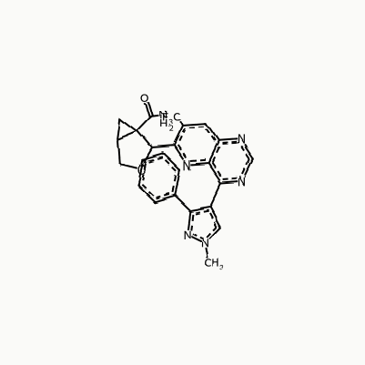 Cn1cc(-c2ncnc3cc(C(F)(F)F)c(C4OCC5CC54C(N)=O)nc23)c(-c2ccccc2)n1